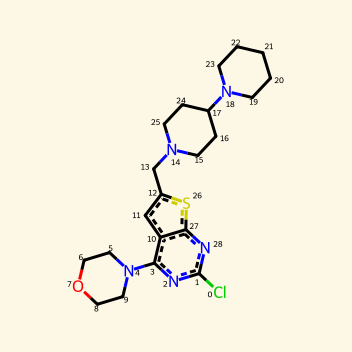 Clc1nc(N2CCOCC2)c2cc(CN3CCC(N4CCCCC4)CC3)sc2n1